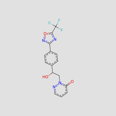 O=c1cccnn1CC(O)c1ccc(-c2noc(C(F)(F)F)n2)cc1